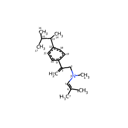 C=C(CN(C)C=C(C)C)c1ccc(C(C)C(C)C)cc1